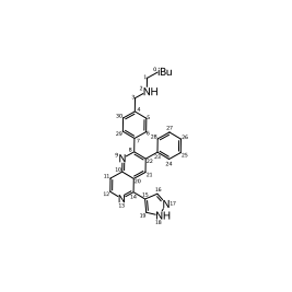 CCC(C)CNCc1ccc(-c2nc3ccnc(-c4cn[nH]c4)c3cc2-c2ccccc2)cc1